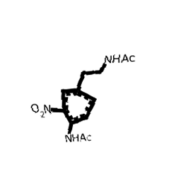 CC(=O)NCCc1ccc(NC(C)=O)c([N+](=O)[O-])c1